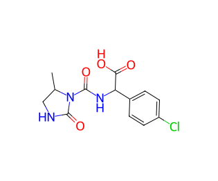 CC1CNC(=O)N1C(=O)NC(C(=O)O)c1ccc(Cl)cc1